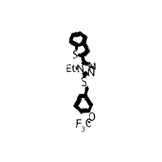 CCn1c(SCc2cccc(OC(F)(F)F)c2)nnc1-c1cc2ccccc2s1